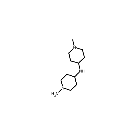 CN1CCC(NC2CCN(N)CC2)CC1